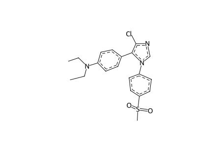 CCN(CC)c1ccc(-c2c(Cl)ncn2-c2ccc(S(C)(=O)=O)cc2)cc1